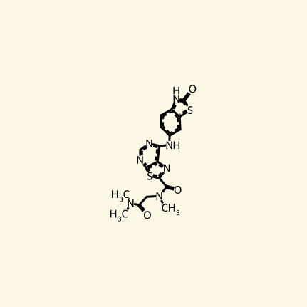 CN(C)C(=O)CN(C)C(=O)c1nc2c(Nc3ccc4[nH]c(=O)sc4c3)ncnc2s1